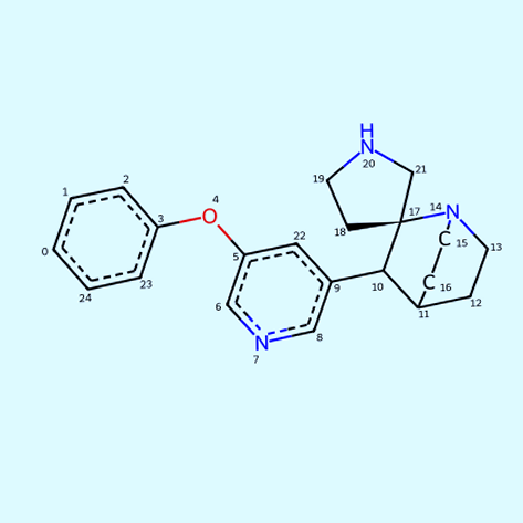 c1ccc(Oc2cncc(C3C4CCN(CC4)[C@]34CCNC4)c2)cc1